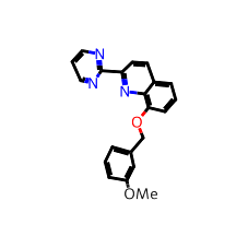 COc1cccc(COc2cccc3ccc(-c4ncccn4)nc23)c1